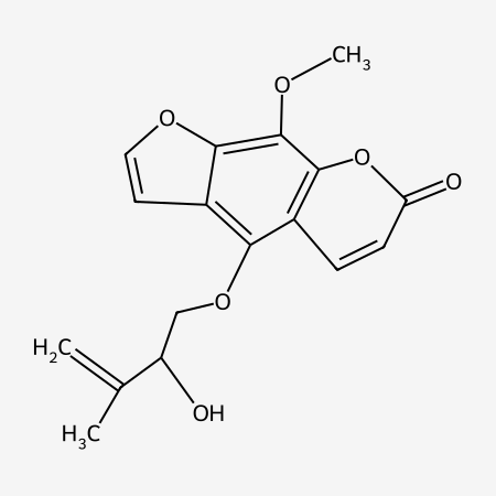 C=C(C)C(O)COc1c2ccoc2c(OC)c2oc(=O)ccc12